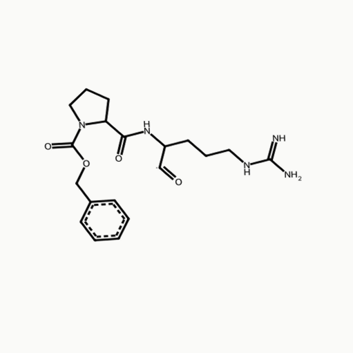 N=C(N)NCCCC([C]=O)NC(=O)C1CCCN1C(=O)OCc1ccccc1